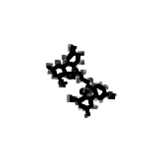 Cc1cc(Br)c(O)c(-c2cc(Br)ccc2OCCCOc2ccc(Br)cc2-c2cc(C)cc(Br)c2O)c1